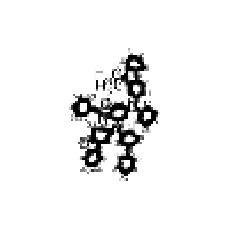 CC1(C)c2ccccc2-c2ccc(N(c3ccccc3)c3cc(N(c4cccc(-c5ccccc5)c4)c4ccc5oc6ccccc6c5c4)c4nc(-c5ccccc5)oc4c3)cc21